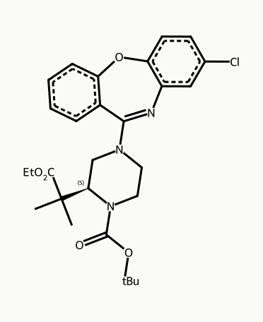 CCOC(=O)C(C)(C)[C@H]1CN(C2=Nc3cc(Cl)ccc3Oc3ccccc32)CCN1C(=O)OC(C)(C)C